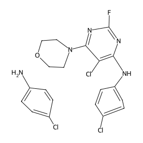 Fc1nc(Nc2ccc(Cl)cc2)c(Cl)c(N2CCOCC2)n1.Nc1ccc(Cl)cc1